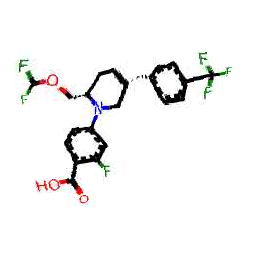 O=C(O)c1ccc(N2C[C@@H](c3ccc(C(F)(F)F)cc3)CC[C@H]2COC(F)F)cc1F